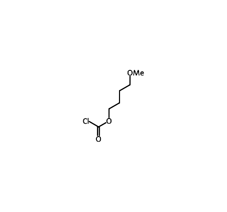 COCCCCOC(=O)Cl